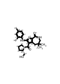 CC1(C)CNC(=O)c2sc(Nc3ccc(I)cc3F)c(C(=O)N3CCC[C@H]3CO)c2C1